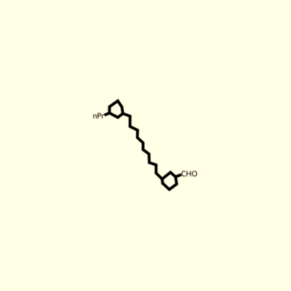 CCCC1CCCC(CCCCCCCCCCC2CCCC(C=O)C2)C1